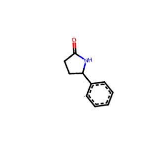 O=C1CCC(c2[c]cccc2)N1